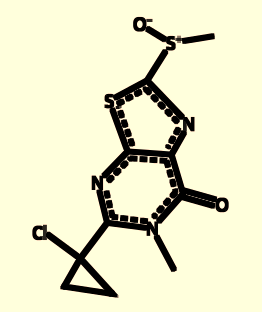 Cn1c(C2(Cl)CC2)nc2sc([S+](C)[O-])nc2c1=O